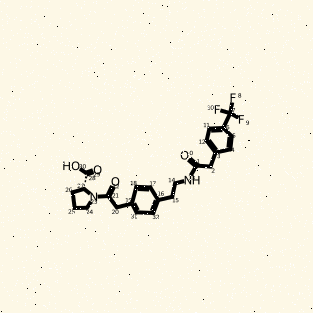 O=C(Cc1ccc(C(F)(F)F)cc1)NCCc1ccc(CC(=O)N2CCC[C@@H]2C(=O)O)cc1